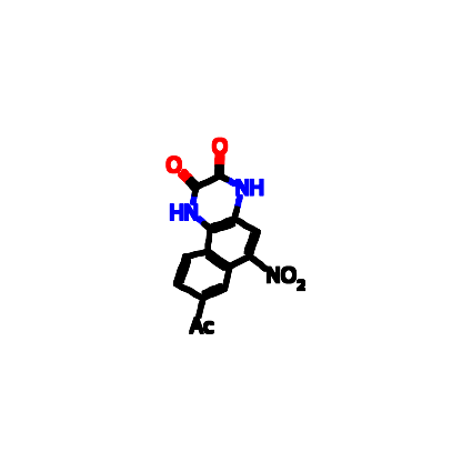 CC(=O)c1ccc2c(c1)c([N+](=O)[O-])cc1[nH]c(=O)c(=O)[nH]c12